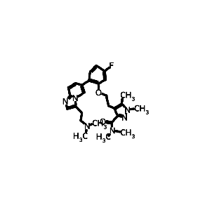 Cc1c(CCOc2cc(F)ccc2-c2ccc3ncc(CCN(C)C)n3c2)c(C(=O)N(C)C)nn1C